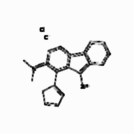 C[Si](C)=c1ccc2c(c1C1=CC=CC1)[C]([Zr+2])=c1ccccc1=2.[Cl-].[Cl-]